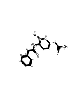 O=C(O)C[C@@H]1CCC(NC(=O)Cc2ccccc2)B(O)O1